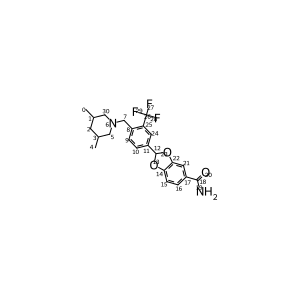 CC1CC(C)CN(Cc2ccc(C3Oc4ccc(C(N)=O)cc4O3)cc2C(F)(F)F)C1